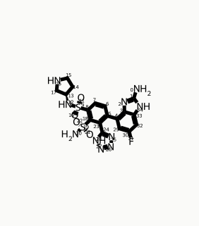 Nc1nc2c(-c3ccc(S(=O)(=O)N[C@@H]4CCNC4)c(S(N)(=O)=O)c3-c3nnn[nH]3)cc(F)cc2[nH]1